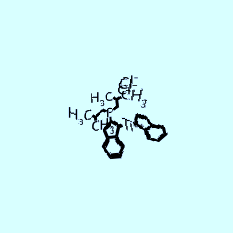 CC(C)CP(CC(C)C)C1=Cc2ccccc2[CH]1[Ti+2][CH]1C=Cc2ccccc21.[Cl-].[Cl-]